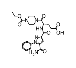 CCOC(=O)N1CCN(C(=O)[C@H](CCC(=O)O)NC(=O)c2cc(C(N)=O)n(-c3ccccc3)n2)CC1